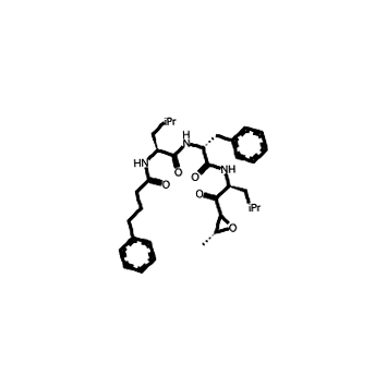 CC(C)C[C@H](NC(=O)CCCc1ccccc1)C(=O)N[C@H](Cc1ccccc1)C(=O)N[C@@H](CC(C)C)C(=O)C1O[C@@H]1C